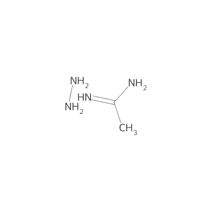 CC(=N)N.NN